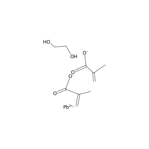 C=C(C)C(=O)[O-].C=C(C)C(=O)[O-].OCCO.[Pb+2]